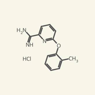 Cc1ccccc1Oc1cccc(C(=N)N)n1.Cl